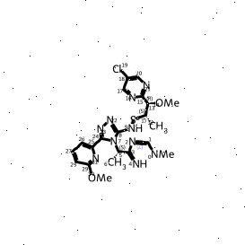 CN/C=N\C(=N)[C@H](C)n1c(NS[C@@H](C)[C@H](OC)c2ncc(Cl)cn2)nnc1-c1cccc(OC)n1